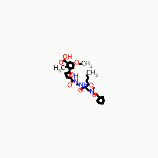 CCCCCC(CN(C=O)OCc1ccccc1)C(=O)NCNC(=O)c1ccc(-c2cc(OCC)cc(C(=O)O)c2C)o1